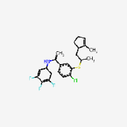 C=C(NC1C=C(F)C(F)=C(F)C1)c1ccc(Cl)c(SC(C)CC2CCC=C2C)c1